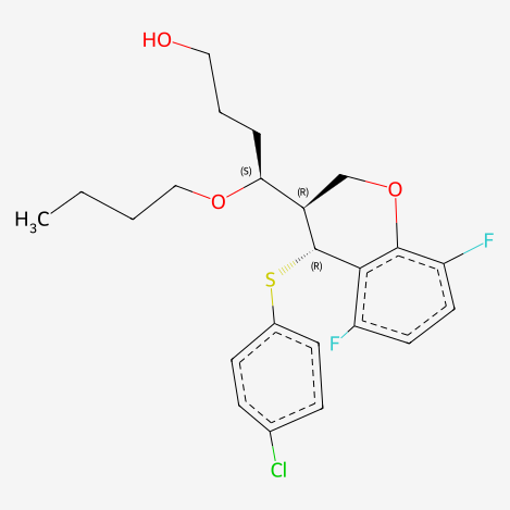 CCCCO[C@@H](CCCO)[C@H]1COc2c(F)ccc(F)c2[C@@H]1Sc1ccc(Cl)cc1